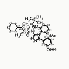 COC1=NC(c2nnc(N(CC[Si](C)(C)C)S(=O)(=O)[C@H](C)[C@H](O)C3CCOCC3)n2-c2c(O)cccc2OC)=C=C=C1